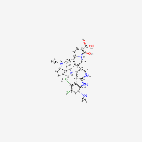 CNc1cc(F)c(F)c2c1[nH]c1ncc(-c3ccc4ccc(C(=O)O)c(=O)n4c3)c(N3C[C@H]4CC[C@H](N(C)C)[C@H]4C3)c12